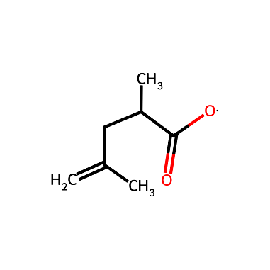 C=C(C)CC(C)C([O])=O